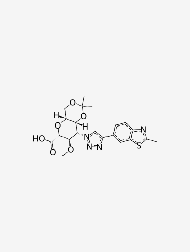 CO[C@@H]1[C@@H](n2cc(-c3ccc4nc(C)sc4c3)nn2)[C@H]2OC(C)(C)OC[C@H]2O[C@H]1C(=O)O